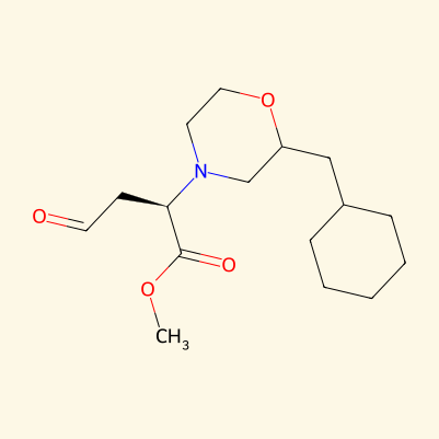 COC(=O)[C@@H](CC=O)N1CCOC(CC2CCCCC2)C1